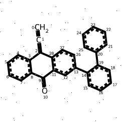 C=C=C1c2ccccc2C(=O)c2cc(-c3ccccc3-c3ccccc3)ccc21